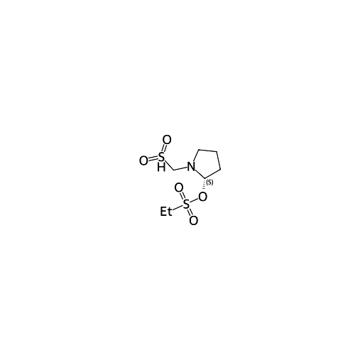 CCS(=O)(=O)O[C@H]1CCCN1C[SH](=O)=O